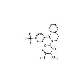 CC(NC(=O)N1CCc2ccccc2[C@H]1c1ccc(C(F)(F)F)cc1)C(=O)O